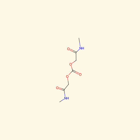 CNC(=O)COC(=O)OCC(=O)NC